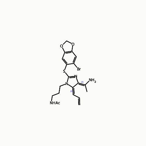 C=C/C=c1\c(=C(/C)N)nc(Sc2cc3c(cc2Br)OCO3)n1CCCNC(C)=O